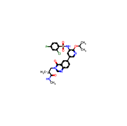 CNC(=O)[C@H](C)Cn1cnc2ccc(-c3cnc(OC(C)C)c(NS(=O)(=O)c4ccc(F)cc4Cl)c3)cc2c1=O